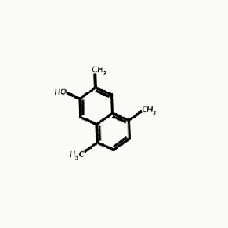 Cc1cc2c(C)ccc(C)c2cc1O